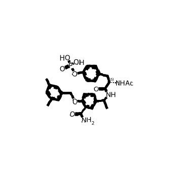 CC(=O)N[C@@H](Cc1ccc(OP(=O)(O)O)cc1)C(=O)NC(C)c1ccc(OCc2cc(C)cc(C)c2)c(C(N)=O)c1